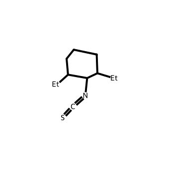 CCC1CCCC(CC)C1N=C=S